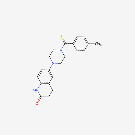 Cc1ccc(C(=S)N2CCN(c3ccc4c(c3)CCC(=O)N4)CC2)cc1